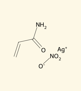 C=CC(N)=O.O=[N+]([O-])[O-].[Ag+]